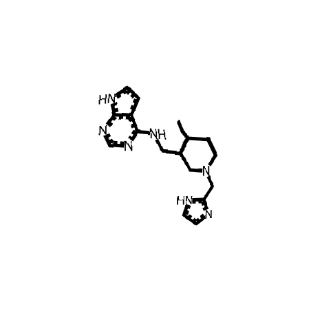 CC1CCN(Cc2ncc[nH]2)CC1CNc1ncnc2[nH]ccc12